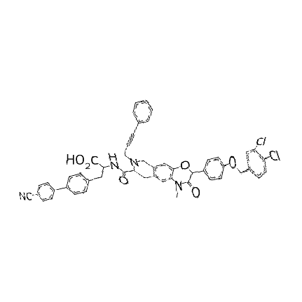 CN1C(=O)C(c2ccc(OCc3ccc(Cl)c(Cl)c3)cc2)Oc2cc3c(cc21)CC(C(=O)NC(Cc1ccc(-c2ccc(C#N)cc2)cc1)C(=O)O)N(CC#Cc1ccccc1)C3